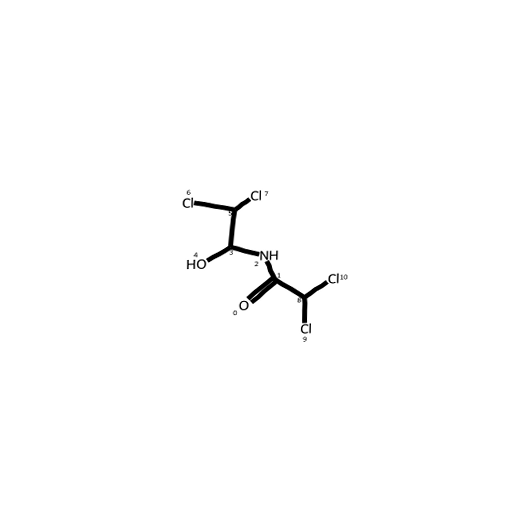 O=C(NC(O)C(Cl)Cl)C(Cl)Cl